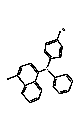 CCC(C)c1ccc(N(c2ccccc2)c2ccc(C)c3ccccc23)cc1